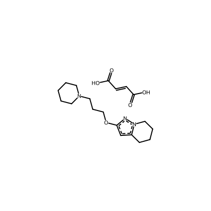 O=C(O)C=CC(=O)O.c1c(OCCCN2CCCCC2)nn2c1CCCC2